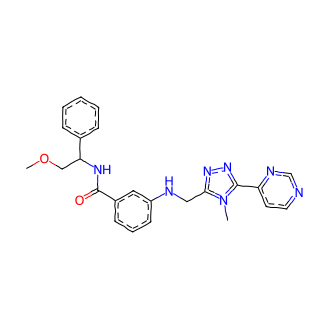 COCC(NC(=O)c1cccc(NCc2nnc(-c3ccncn3)n2C)c1)c1ccccc1